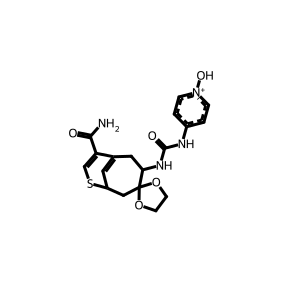 NC(=O)C1=CSC2C=C1CC(NC(=O)Nc1cc[n+](O)cc1)C1(C2)OCCO1